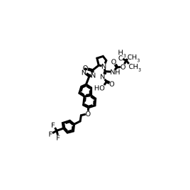 CC(C)(C)OC(=O)NC(=NC(=O)O)N1CCCC1c1nc(-c2ccc3cc(OCCc4ccc(C(F)(F)F)cc4)ccc3c2)no1